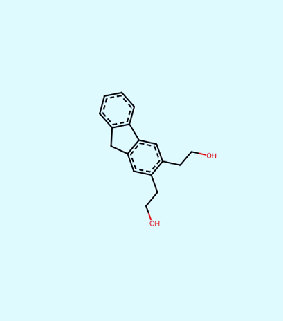 OCCc1cc2c(cc1CCO)-c1ccccc1C2